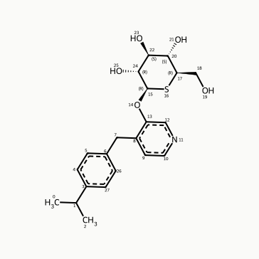 CC(C)c1ccc(Cc2ccncc2O[C@@H]2S[C@H](CO)[C@@H](O)[C@H](O)[C@H]2O)cc1